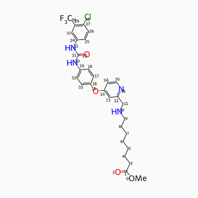 COC(=O)CCCCCCCNCc1cc(Oc2ccc(NC(=O)Nc3ccc(Cl)c(C(F)(F)F)c3)cc2)ccn1